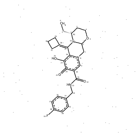 CC[C@@H]1CCOC2Cn3cc(C(=O)NCc4ccc(F)cc4)c(=O)c(O)c3C(=C3CCC3)N21